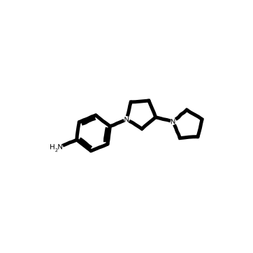 Nc1ccc(N2CCC(N3CCCC3)C2)cc1